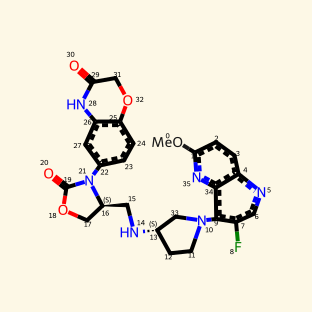 COc1ccc2ncc(F)c(N3CC[C@H](NC[C@H]4COC(=O)N4c4ccc5c(c4)NC(=O)CO5)C3)c2n1